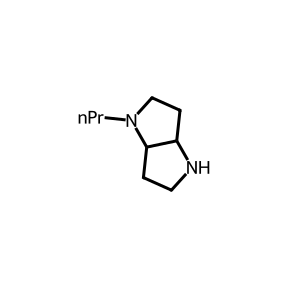 CCCN1CCC2NCCC21